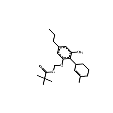 CCCc1cc(O)c(C2C=C(C)CCC2)c(OCOC(=O)C(C)(C)C)c1